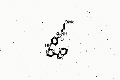 COCCCNS(=O)(=O)c1ccc(Nc2nccc(-c3cnc4cccnn34)n2)cc1